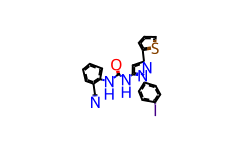 N#Cc1ccccc1NC(=O)Nc1cc(-c2cccs2)nn1-c1ccc(I)cc1